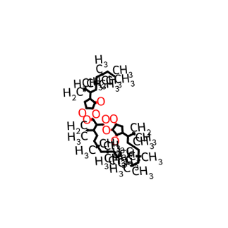 C=C(C)C(CC(C)(C)CC(C)(C)CC(C)(C)C)C1CC(=O)C(OC(=O)C(C(=O)OC2C(=O)CC(C(CC(C)(C)CC(C)(C)CC(C)(C)C)C(=C)C)C2=O)C(CCC(C)(C)CC(C)(C)CC(C)(C)C)C(=C)C)C1=O